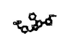 COc1cncc(-c2cn3cc(CN4CCN(C[SH](=O)=O)CC4)nc3c(N3CCOCC3)n2)c1